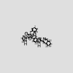 O=C(N[C@@H](Cc1ccccc1Cl)C(=O)Nc1ncc[nH]1)c1ccc2[nH]c(-c3cc4ccccc4cn3)nc2c1